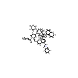 CNC(=O)c1ccccc1Sc1ccc2c(/C=C/c3ccccn3)nn(P(=O)(N[C@@H](C)C(=O)O[C@@H](C)c3ccccc3)Oc3cccc4ccccc34)c2c1